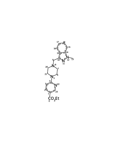 CCOC(=O)c1ccc(N2CCN(Cc3nn(C)c4ccccc34)CC2)nc1